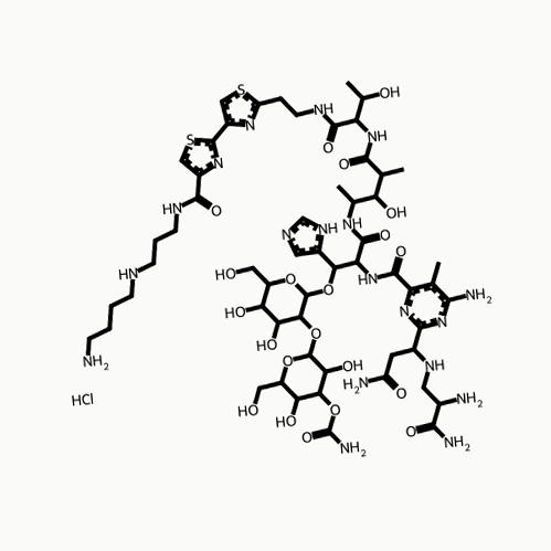 Cc1c(N)nc(C(CC(N)=O)NCC(N)C(N)=O)nc1C(=O)NC(C(=O)NC(C)C(O)C(C)C(=O)NC(C(=O)NCCc1nc(-c2nc(C(=O)NCCCNCCCCN)cs2)cs1)C(C)O)C(OC1OC(CO)C(O)C(O)C1OC1OC(CO)C(O)C(OC(N)=O)C1O)c1cnc[nH]1.Cl